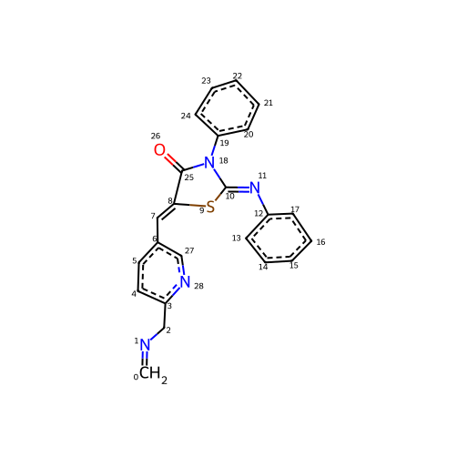 C=NCc1ccc(/C=C2\S/C(=N\c3ccccc3)N(c3ccccc3)C2=O)cn1